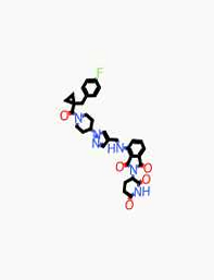 O=C1CCC(N2C(=O)c3cccc(NCc4cnn(C5CCN(C(=O)C6(Cc7ccc(F)cc7)CC6)CC5)c4)c3C2=O)C(=O)N1